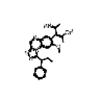 CCC(c1ccccc1)c1nnc2cnc3cc(/C(C(C)=N)=C(\C)O)c(OC)cc3n12